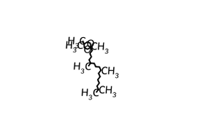 CC(C)CCCCCC(C)CCCC(C)CCCCC1(C)OCC(C)(C)CO1